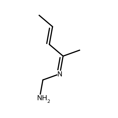 C/C=C/C(C)=N\CN